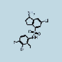 NC1CCc2c1cc(Cl)cc2S(=O)(=O)Nc1ccc(F)c(Br)c1F